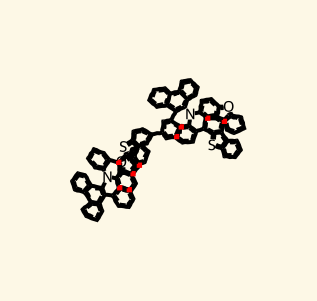 c1ccc(-c2c(N(c3ccccc3-c3cccc4c3sc3ccc(-c5cccc(-c6c(N(c7ccc8oc9ccccc9c8c7)c7ccccc7-c7cccc8c7sc7ccccc78)c7ccccc7c7ccccc67)c5)cc34)c3cccc4c3oc3ccccc34)c3ccccc3c3ccccc23)cc1